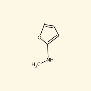 CNc1cc[c]o1